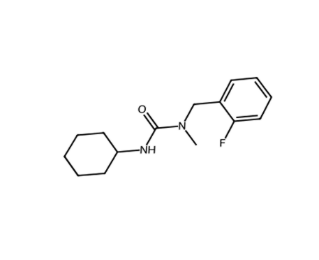 CN(Cc1ccccc1F)C(=O)NC1CCCCC1